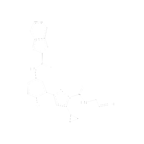 C=CCNC(=O)n1nc(-c2cc(NC(=O)c3cc4ccccc4s3)ccc2O)cc1C1CC1